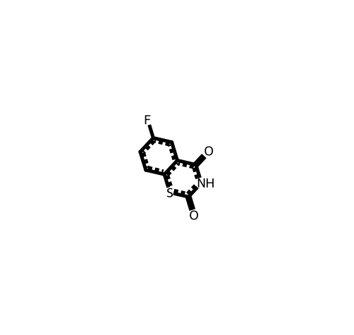 O=c1[nH]c(=O)c2cc(F)ccc2s1